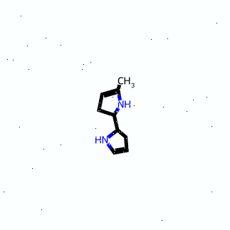 CC1=CCC(C2CC=CN2)N1